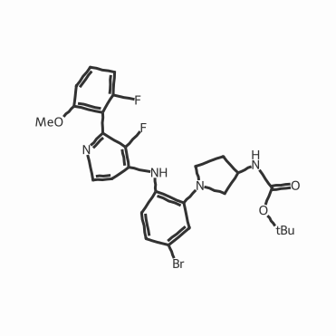 COc1cccc(F)c1-c1nccc(Nc2ccc(Br)cc2N2CCC(NC(=O)OC(C)(C)C)C2)c1F